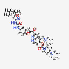 CC(C)(C)c1cc(NC(=O)Nc2ccc3oc(C(=O)c4cc5c(CN6CCCCC6)c(OC(=O)N6CC=C(N7CCCCC7)CC6)ccc5[nH]4)cc3c2)no1